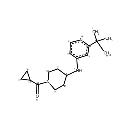 CC(C)(C)c1cc(NC2CCN(C(=O)C3CC3)CC2)ccn1